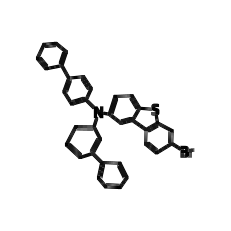 Brc1ccc2c(c1)sc1ccc(N(c3ccc(-c4ccccc4)cc3)c3cccc(-c4ccccc4)c3)cc12